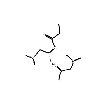 CC(O)CN(C)C.CCC(=O)O[C@H](C)CN(C)C